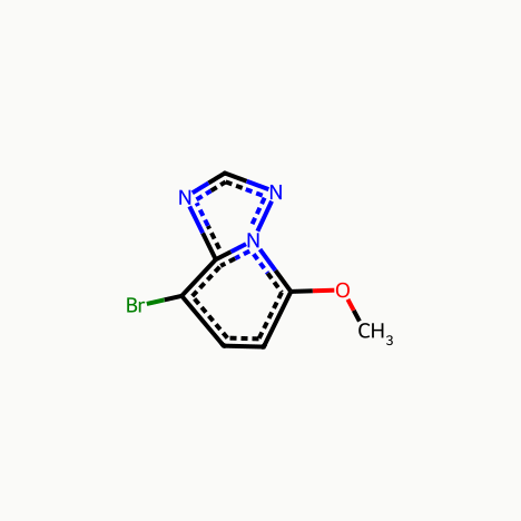 COc1ccc(Br)c2ncnn12